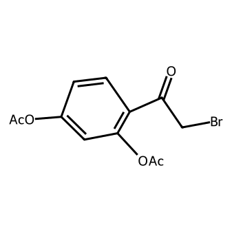 CC(=O)Oc1ccc(C(=O)CBr)c(OC(C)=O)c1